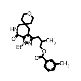 CCn1nc(CC(C)COC(=O)c2cccc(C)c2)c2c1C(=O)NCC1(CCOCC1)C2